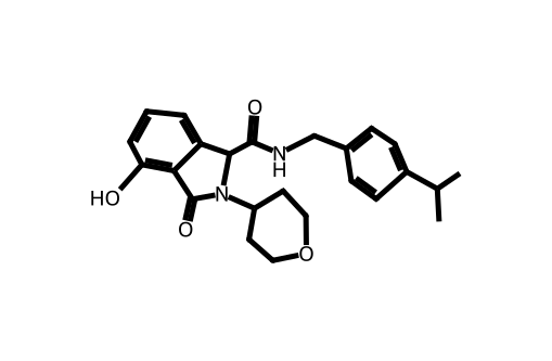 CC(C)c1ccc(CNC(=O)C2c3cccc(O)c3C(=O)N2C2CCOCC2)cc1